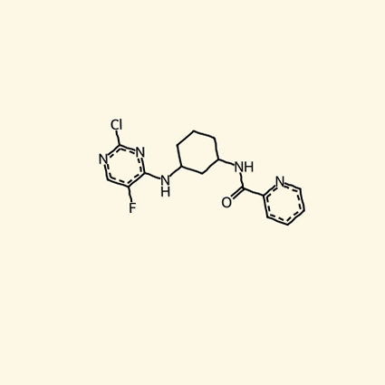 O=C(NC1CCCC(Nc2nc(Cl)ncc2F)C1)c1ccccn1